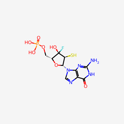 Nc1nc2c(ncn2[C@@H]2O[C@H](COP(=O)(O)O)[C@](O)(F)[C@H]2S)c(=O)[nH]1